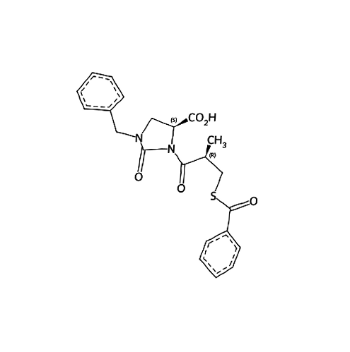 C[C@@H](CSC(=O)c1ccccc1)C(=O)N1C(=O)N(Cc2ccccc2)C[C@H]1C(=O)O